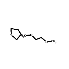 C1CCSC1.COCCOC